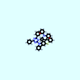 c1ccc(-c2nc(-c3ccccc3)nc(-n3c4ccccc4c4cc5c(cc43)C3(c4ccccc4S5)c4ccccc4N(c4ccccc4)c4ccccc43)n2)cc1